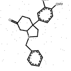 COc1ccc(C23CCC(=O)CC2N(Cc2ccccc2)CC3)cc1OC